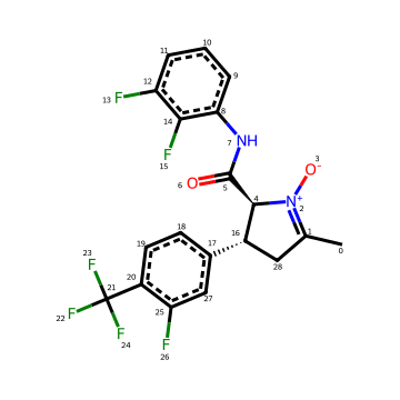 CC1=[N+]([O-])[C@H](C(=O)Nc2cccc(F)c2F)[C@@H](c2ccc(C(F)(F)F)c(F)c2)C1